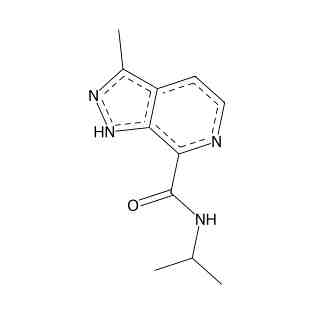 Cc1n[nH]c2c(C(=O)NC(C)C)nccc12